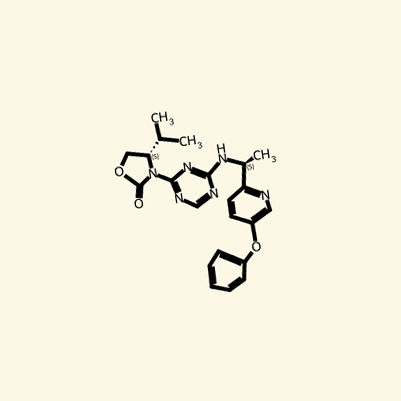 CC(C)[C@H]1COC(=O)N1c1ncnc(N[C@@H](C)c2ccc(Oc3ccccc3)cn2)n1